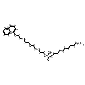 CCCCCCCCCCOP(=O)(O)OCCOCCOCCOCCOc1cccc2ccccc12